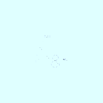 N#Cc1ccc(N2CC(C(F)(F)F)[C@@H](CN3CCC4(CCNC4)CC3)C2)c2cccnc12